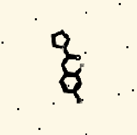 O=C(Cc1ccc(Br)cc1F)N1CCCC1